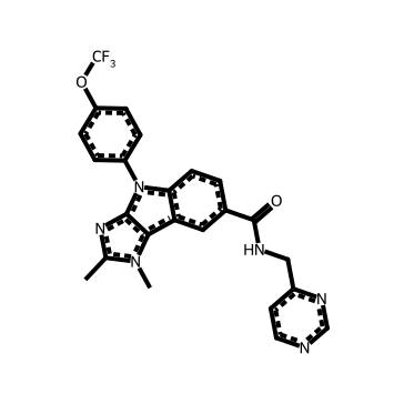 Cc1nc2c(c3cc(C(=O)NCc4ccncn4)ccc3n2-c2ccc(OC(F)(F)F)cc2)n1C